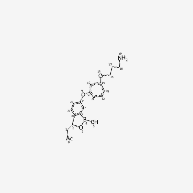 CC(=O)C[C@H]1OB(O)c2cc(Oc3cccc(OCCCN)c3)ccc21